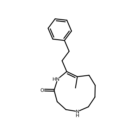 C/C1=C(/CCc2ccccc2)NC(=O)CCNCCCC1